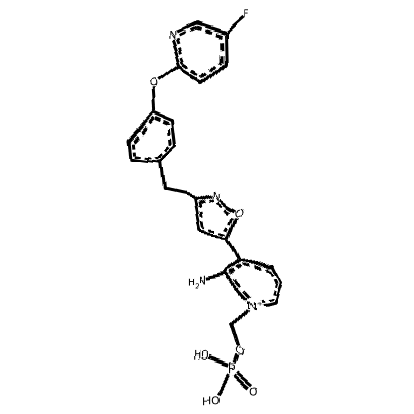 Nc1c(-c2cc(Cc3ccc(Oc4ccc(F)cn4)cc3)no2)ccc[n+]1COP(=O)(O)O